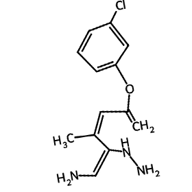 C=C(/C=C(C)\C(=C/N)NN)Oc1cccc(Cl)c1